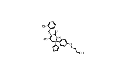 O=C1NC(c2ccc(OCCCO)cc2)(c2ccsc2)CC(O)=C1Sc1ccccc1Cl